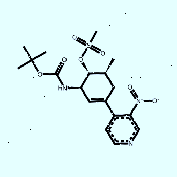 C[C@H]1CC(c2ccncc2[N+](=O)[O-])=C[C@@H](NC(=O)OC(C)(C)C)[C@H]1OS(C)(=O)=O